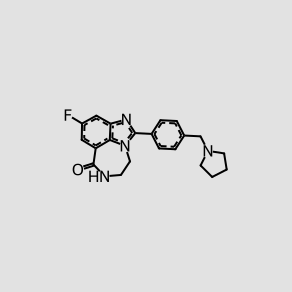 O=C1NCCn2c(-c3ccc(CN4CCCC4)cc3)nc3cc(F)cc1c32